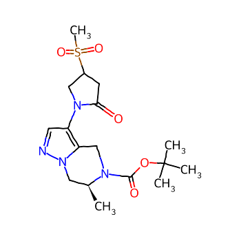 C[C@H]1Cn2ncc(N3CC(S(C)(=O)=O)CC3=O)c2CN1C(=O)OC(C)(C)C